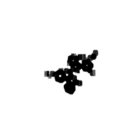 CC(c1oc(=O)c2ccccc2c1C1=CCN(C)CC1)n1nc(-c2cc(Cl)cc(OC=O)c2)c2c(N)ncnc21